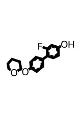 Oc1ccc(-c2ccc(OC3CCCCO3)cc2)c(F)c1